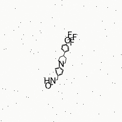 O=CNCc1ccc(N2CCC(c3ccc(OC(F)(F)F)cc3)CC2)cc1